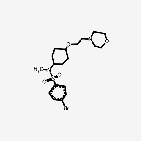 CN(C1CCC(OCCN2CCOCC2)CC1)S(=O)(=O)c1ccc(Br)cc1